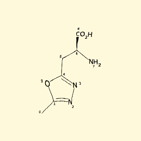 Cc1nnc(C[C@H](N)C(=O)O)o1